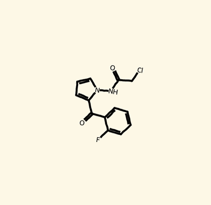 O=C(CCl)Nn1cccc1C(=O)c1ccccc1F